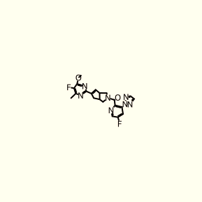 COc1nc(C2=CC3CN(C(=O)c4ncc(F)cc4-n4nccn4)CC3C2)nc(C)c1F